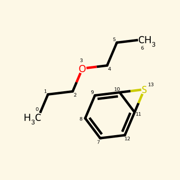 CCCOCCC.c1ccc2c(c1)S2